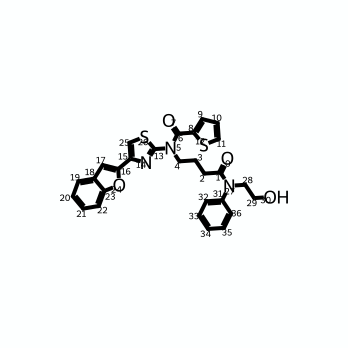 O=C(CCCN(C(=O)c1cccs1)c1nc(-c2cc3ccccc3o2)cs1)N(CCO)c1ccccc1